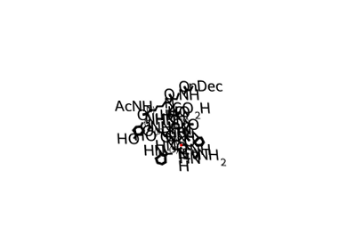 CCCCCCCCCCCC(=O)NCCC(=O)NCCCC[C@H](NC(C)=O)C(=O)N[C@@H](Cc1ccc(O)cc1)C(=O)N[C@@H](CO)C(=O)N[C@@H](CCCC)C(=O)N[C@@H](CCC(=O)O)C(=O)N[C@@H](CO)C(=O)N[C@H](Cc1ccccc1)C(=O)N[C@@H](CCCNC(=N)N)C(=O)N[C@@H](Cc1c[nH]c2ccccc12)C(=O)NCC